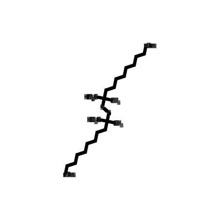 CCCCCCCCCCCCCCCCCCC(C)(SSC(C)(CCCCCCCCCCCCCCCCCC)C(=O)O)C(=O)O